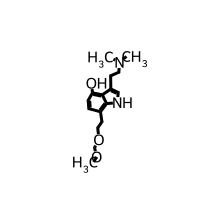 COCOCCc1ccc(O)c2c(CCN(C)C)c[nH]c12